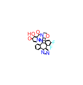 O=C1c2c(O)c(=O)ccn2N([C@@H]2c3ccccc3-c3ncncc3-c3c2ccc(F)c3F)[C@@H]2COCCN12